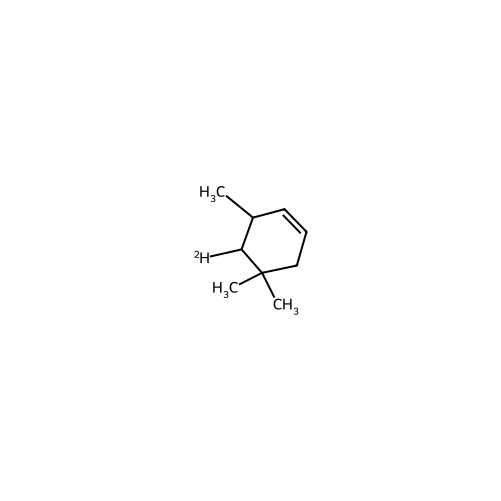 [2H]C1C(C)C=CCC1(C)C